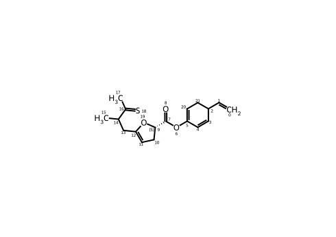 C=CC1C=CC(OC(=O)[C@@H]2CC=C(CC(C)C(C)=S)O2)=CC1